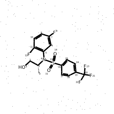 C[C@H](CO)N(c1cc(F)ccc1F)S(=O)(=O)c1ccc(C(F)(F)F)cc1